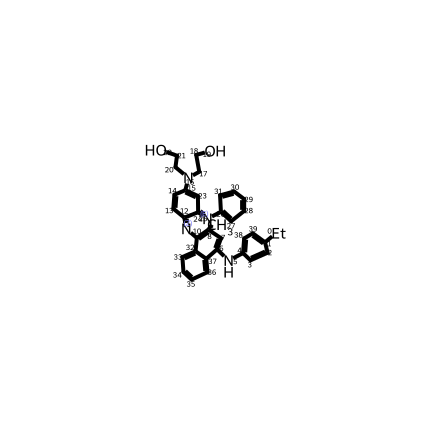 CCc1ccc(Nc2cc(C)c(/N=C3/C=CC(N(CCO)CCO)=C/C3=N\c3ccccc3)c3ccccc23)cc1